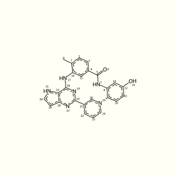 Cc1ccc(C(=O)Nc2cccc(O)c2)cc1Nc1nc(-c2cccnc2)nc2cc[nH]c12